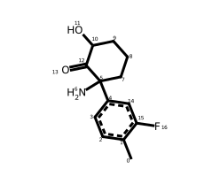 Cc1ccc(C2(N)CCCC(O)C2=O)cc1F